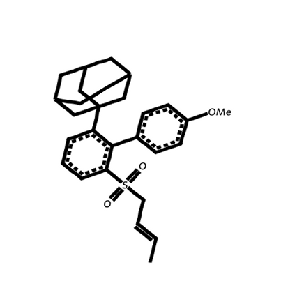 CC=CCS(=O)(=O)c1cccc(C23CC4CC(CC(C4)C2)C3)c1-c1ccc(OC)cc1